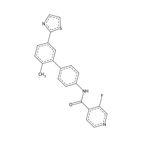 Cc1ccc(-c2nccs2)cc1-c1ccc(NC(=O)c2ccncc2F)cc1